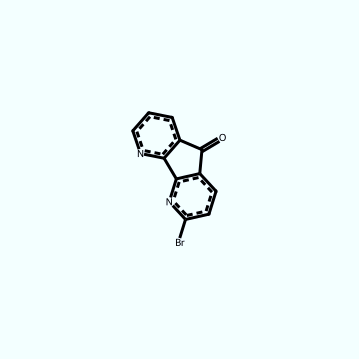 O=C1c2cccnc2-c2nc(Br)ccc21